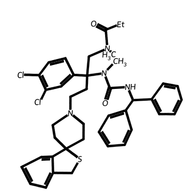 CCC(=O)N(C)CC(CCN1CCC2(CC1)SCc1ccccc12)(c1ccc(Cl)c(Cl)c1)N(C)C(=O)NC(c1ccccc1)c1ccccc1